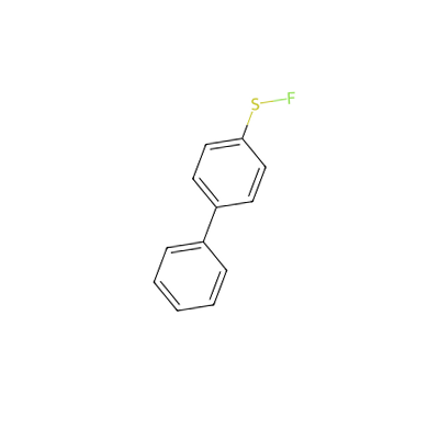 FSc1ccc(-c2ccccc2)cc1